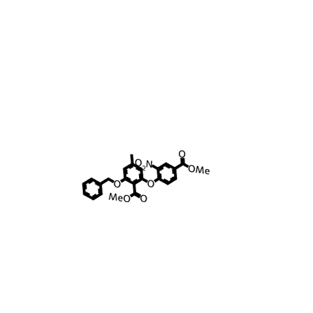 COC(=O)c1ccc(Oc2cc(C)cc(OCc3ccccc3)c2C(=O)OC)c([N+](=O)[O-])c1